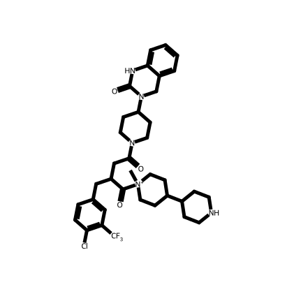 C[N+]1(C(=O)C(CC(=O)N2CCC(N3Cc4ccccc4NC3=O)CC2)Cc2ccc(Cl)c(C(F)(F)F)c2)CCC(C2CCNCC2)CC1